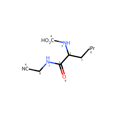 CC(C)CC(NC(=O)O)C(=O)NCC#N